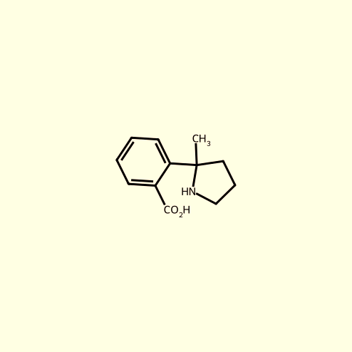 CC1(c2ccccc2C(=O)O)CCCN1